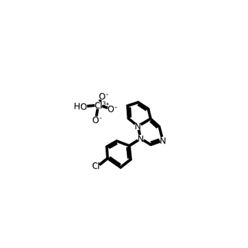 Clc1ccc(N2C=NC=C3C=CC=CN32)cc1.[O-][Cl+3]([O-])([O-])O